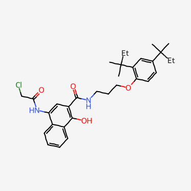 CCC(C)(C)c1ccc(OCCCNC(=O)c2cc(NC(=O)CCl)c3ccccc3c2O)c(C(C)(C)CC)c1